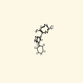 Fc1cnc(Cl)nc1-c1cn(C2CCCCC2)nn1